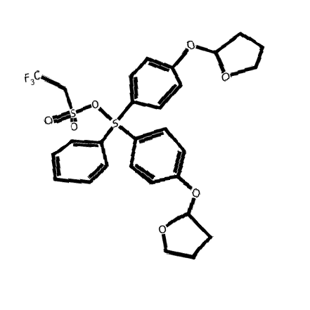 O=S(=O)(CC(F)(F)F)OS(c1ccccc1)(c1ccc(OC2CCCO2)cc1)c1ccc(OC2CCCO2)cc1